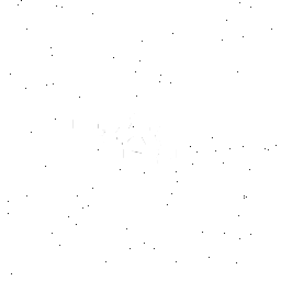 COC(=O)c1cc(=O)c2c(OC(C)=O)c(OC(C)=O)ccc2[nH]1